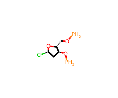 POC[C@H]1O[C@H](Cl)C[C@@H]1OP